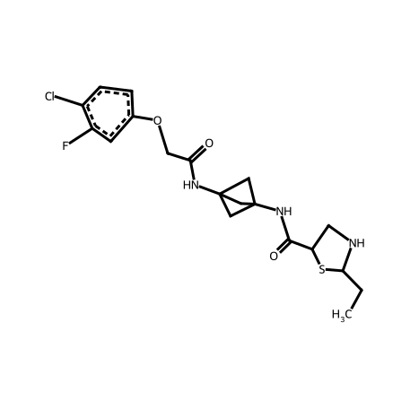 CCC1NCC(C(=O)NC23CC(NC(=O)COc4ccc(Cl)c(F)c4)(C2)C3)S1